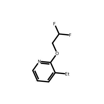 CCc1c[c]cnc1OCC(F)F